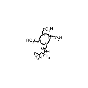 CCC(N)CC(C)NC(=O)CN1CCN(CC(=O)O)CCN(CC(=O)O)CCN(CC(=O)O)CC1